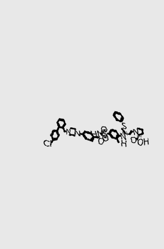 Cc1cc(S(=O)(=O)NC(=O)c2ccc(N3CCN(Cc4ccccc4-c4ccc(Cl)cc4)CC3)cc2)ccc1N[C@H](CCN1CCC[C@H]1C(=O)O)CSc1ccccc1